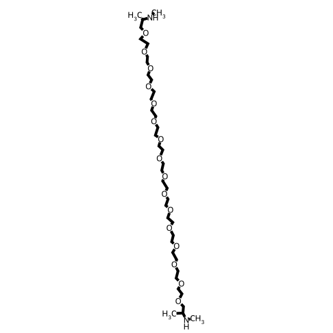 CNC(C)COCCOCCOCCOCCOCCOCCOCCOCCOCCOCCOCCOCCOCCOCCOCCOCC(C)NC